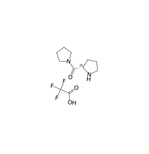 O=C(O)C(F)(F)F.O=C([C@@H]1CCCN1)N1CCCC1